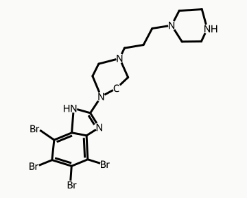 Brc1c(Br)c(Br)c2[nH]c(N3CCN(CCCN4CCNCC4)CC3)nc2c1Br